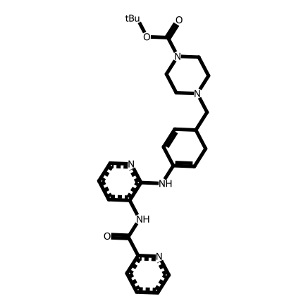 CC(C)(C)OC(=O)N1CCN(CC2C=CC(Nc3ncccc3NC(=O)c3ccccn3)=CC2)CC1